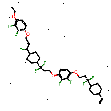 C=CC1CCC(C(F)(F)CCOc2ccc(OCCC(F)(F)C3CCC(C(F)CCOc4ccc(OCC)c(F)c4F)CC3)c(F)c2F)CC1